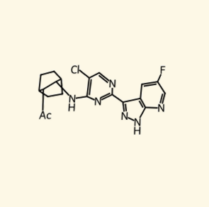 CC(=O)C1C2CCC(CC2)C1Nc1nc(-c2n[nH]c3ncc(F)cc23)ncc1Cl